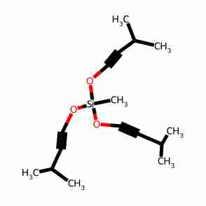 CC(C)C#CO[Si](C)(OC#CC(C)C)OC#CC(C)C